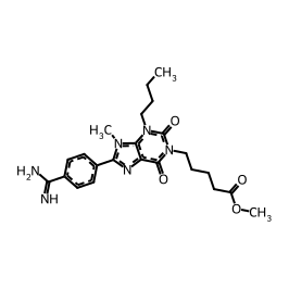 CCCCn1c(=O)n(CCCCC(=O)OC)c(=O)c2nc(-c3ccc(C(=N)N)cc3)n(C)c21